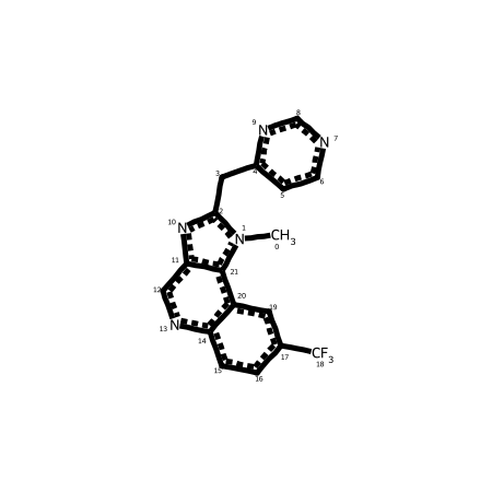 Cn1c(Cc2ccncn2)nc2cnc3ccc(C(F)(F)F)cc3c21